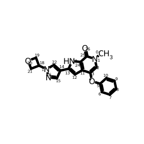 Cn1cc(Oc2ccccc2)c2cc(-c3cnn(C4COC4)c3)[nH]c2c1=O